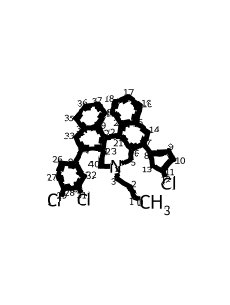 CCCCN1Cc2c(C3=CC=C(Cl)C3)cc3ccccc3c2-c2c(c(-c3ccc(Cl)c(Cl)c3)cc3ccccc23)C1